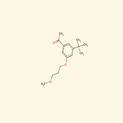 COCCCOc1cc(C(C)=O)cc(C(C)(C)C)c1